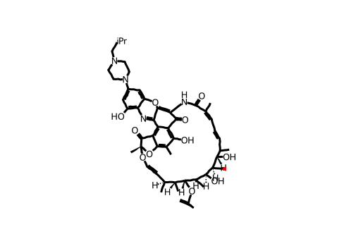 C=C(C)O[C@H]1[C@H](C)[C@H](O)[C@H](C)[C@@H](O)C(C)/C=C/C=C(/C)C(=O)Nc2c3oc4cc(N5CCN(CC(C)C)CC5)cc(O)c4nc-3c3c4c(c(C)c(O)c3c2=O)O[C@](C)(O/C=C/[C@H](C)[C@H]1C)C4=O